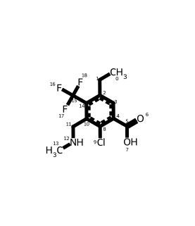 CCc1cc(C(=O)O)c(Cl)c(CNC)c1C(F)(F)F